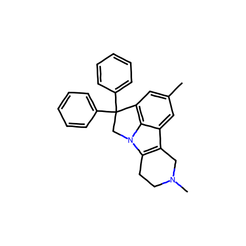 Cc1cc2c3c(c1)c1c(n3CC2(c2ccccc2)c2ccccc2)CCN(C)C1